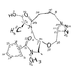 C[C@@H](CO)N1CC[C@H](CN(C)C(=O)c2ccccc2)OCc2cn(nn2)CCCC1=O